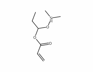 C=CC(=O)OC(CC)O[SiH](C)C